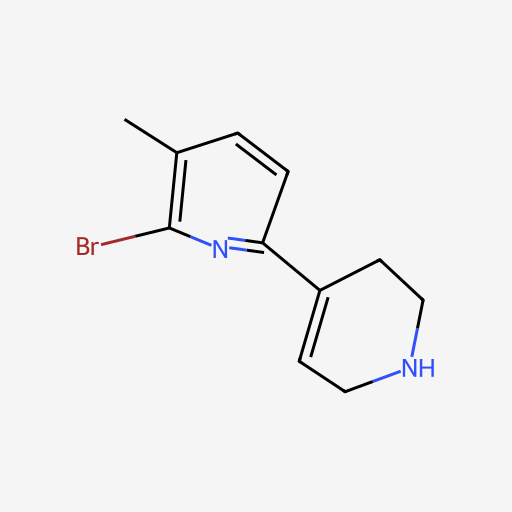 Cc1ccc(C2=CCNCC2)nc1Br